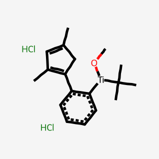 C[O][Ti]([c]1ccccc1C1=C(C)C=C(C)C1)[C](C)(C)C.Cl.Cl